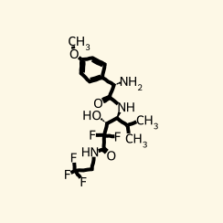 COc1ccc([C@H](N)C(=O)N[C@@H](C(C)C)[C@@H](O)C(F)(F)C(=O)NCC(F)(F)F)cc1